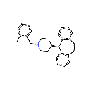 Cc1ccccc1CN1CCC(=C2c3ccccc3C=Cc3ccccc32)CC1